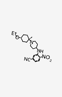 CCO[C@H]1CC[C@](C)(N2CCC(Nc3cc(C#N)ccc3[N+](=O)[O-])CC2)CC1